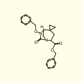 O=C(OCc1ccccc1)C1CC2(CC2)[C@H]2CN1C(=O)N2OCc1ccccc1